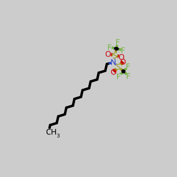 CCCCCCCCCCCCCCCCN(S(=O)(=O)C(F)(F)F)S(=O)(=O)C(F)(F)F